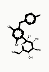 OC[C@H]1O[C@@](O)(c2cc(Cc3ccc(F)cc3)c(Cl)cc2O)[C@H](O)[C@@H](O)[C@@H]1O